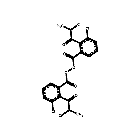 CC(Cl)C(=O)c1c(Cl)cccc1C(=O)OOC(=O)c1cccc(Cl)c1C(=O)C(C)Cl